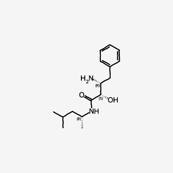 CC(C)C[C@@H](C)NC(=O)[C@@H](O)[C@H](N)Cc1ccccc1